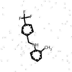 [CH2]c1ccccc1NCc1ccc(C(F)(F)F)cc1